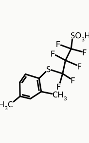 Cc1ccc(SC(F)(F)C(F)(F)C(F)(F)S(=O)(=O)O)c(C)c1